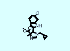 COC(=O)C1(C)N=CN(CC2CC2)C1c1cc2ccc(Cl)cc2[nH]1